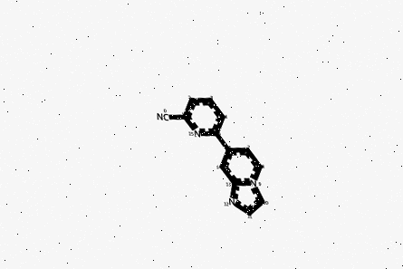 N#Cc1cccc(-c2ccn3ccnc3c2)n1